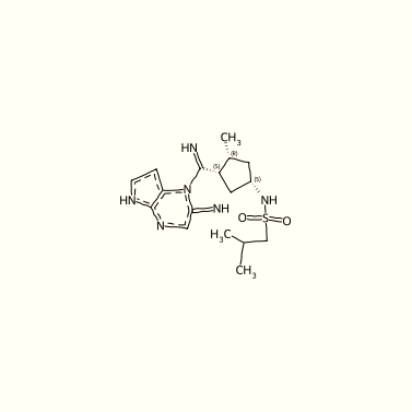 CC(C)CS(=O)(=O)N[C@H]1C[C@@H](C)[C@@H](C(=N)n2c(=N)cnc3[nH]ccc32)C1